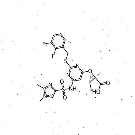 CC[C@@](C)(Oc1cc(NS(=O)(=O)c2cn(C)c(C)n2)nc(SCc2cccc(F)c2F)n1)C(=O)O